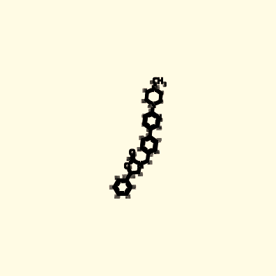 CN1CCN(c2ccc(-c3ccc(CN4CC(c5ccccc5)OC4=O)cc3)cn2)CC1